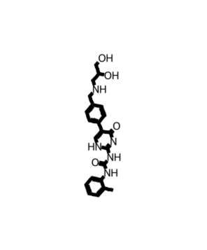 Cc1ccccc1NC(=O)Nc1nc(=O)c(-c2ccc(CNCC(O)CO)cc2)c[nH]1